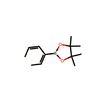 C/C=C\C(=C/C)B1OC(C)(C)C(C)(C)O1